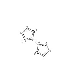 [c]1cnc(-c2ccco2)s1